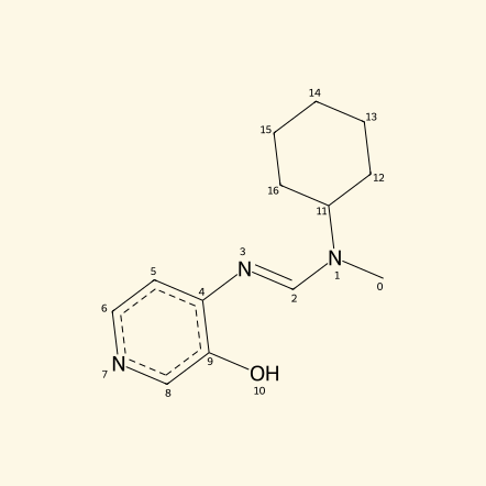 CN(/C=N/c1ccncc1O)C1CCCCC1